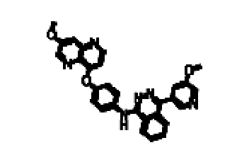 COc1cncc(-c2nnc(Nc3ccc(Oc4ccnc5cc(OC)cnc45)cc3)c3ccccc23)c1